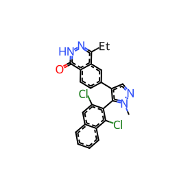 CCc1n[nH]c(=O)c2ccc(-c3cnn(C)c3-c3c(Cl)cc4ccccc4c3Cl)cc12